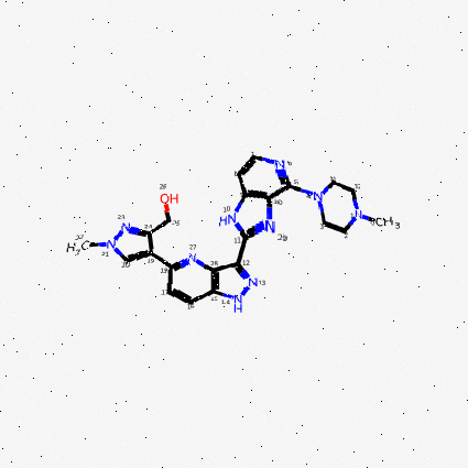 CN1CCN(c2nccc3[nH]c(-c4n[nH]c5ccc(-c6cn(C)nc6CO)nc45)nc23)CC1